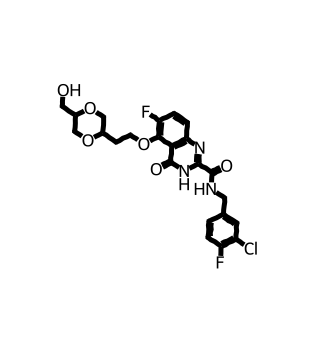 O=C(NCc1ccc(F)c(Cl)c1)c1nc2ccc(F)c(OCCC3COC(CO)CO3)c2c(=O)[nH]1